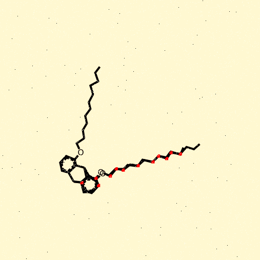 CCCCCCCCCCCCCCOc1cccc2c1C1c3c(OCCCCCCCCCCCC)cccc3C2c2cccc(OCCCCCCCCCCCC)c21